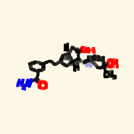 CCCC[C@](C)(O)C/C=C/[C@@H]1[C@H]2CC(CCc3cccc(C(N)=O)c3)=C[C@H]2C[C@H]1O